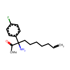 C=CCCCCCC(N)(C(=O)OC)c1ccc(F)cc1